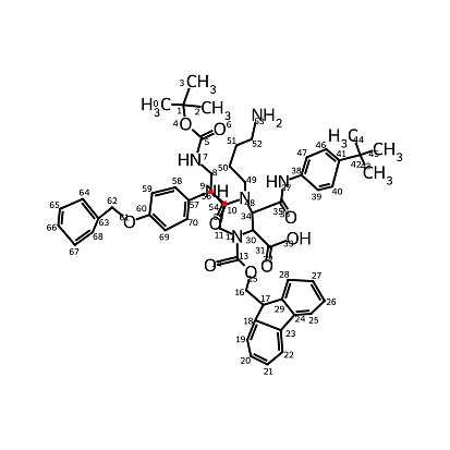 CC(C)(C)OC(=O)NCCCCN(C(=O)OCC1c2ccccc2-c2ccccc21)C(C(=O)O)C(C(=O)Nc1ccc(C(C)(C)C)cc1)N(CCCCN)C(=O)Nc1ccc(OCc2ccccc2)cc1